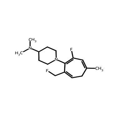 CC1=CC(F)=C(N2CCC(N(C)C)CC2)C(CF)=CC1